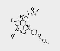 C=CC(=O)NC(C)c1cc(-c2nc(-c3ccc(OCC4CN(C)C4)cc3)c3ccsc3c2-c2c(F)cc(F)cc2OCCOC)n[nH]1